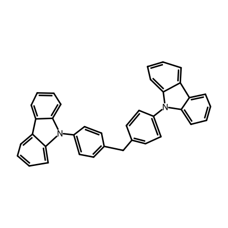 c1ccc2c(c1)c1ccccc1n2-c1ccc(Cc2ccc(-n3c4ccccc4c4ccccc43)cc2)cc1